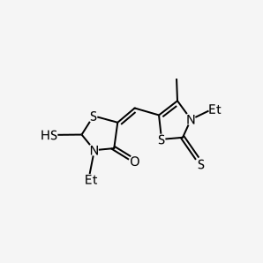 CCN1C(=O)/C(=C\c2sc(=S)n(CC)c2C)SC1S